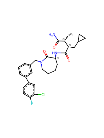 CCC[C@H](C(N)=O)[C@@H](CC1CC1)C(=O)N[C@H]1CCCCN(Cc2cccc(-c3ccc(F)c(Cl)c3)c2)C1=O